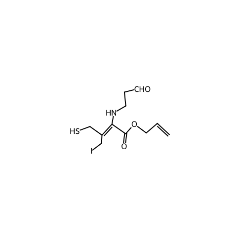 C=CCOC(=O)/C(NCCC=O)=C(/CS)CI